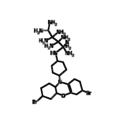 NC(N)C(N)(N)C(N)(N)C(N)(N)NC1CCC(N2C3=C(CC(Br)CC3)OC3CC(Br)CCC32)CC1